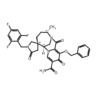 C[C@H]1CC[C@]2(CC(=O)N(Cc3c(F)cc(F)cc3F)C2)[C@H]2CN1C(=O)c1c(OCc3ccccc3)c(=O)c(C(N)=O)cn12